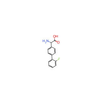 NC(C(=O)O)c1ccc(-c2ccccc2F)cc1